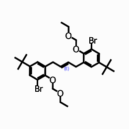 CCOCOc1c(Br)cc(C(C)(C)C)cc1C/C=C/Cc1cc(C(C)(C)C)cc(Br)c1OCOCC